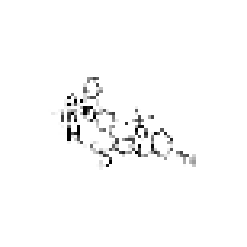 CCOC(=O)c1cn(Cc2cc(C#N)ccc2OC(C)(C)C)cc1-c1ccc(-c2ccccc2S(=O)(=O)NC(C)(C)C)cc1